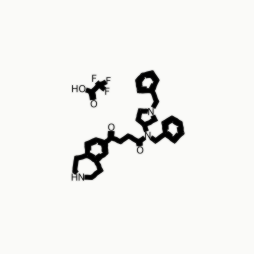 O=C(CCC(=O)N(Cc1ccccc1)C1CCN(Cc2ccccc2)C1)c1ccc2c(c1)CCNCC2.O=C(O)C(F)(F)F